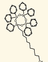 [CH2]CCCCCCCCCC[Si]1(c2ccccc2)O[Si](c2ccccc2)(c2ccccc2)O[Si](c2ccccc2)(c2ccccc2)O[Si](c2ccccc2)(c2ccccc2)O1